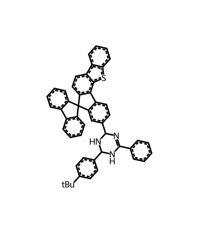 CC(C)(C)c1ccc(C2NC(c3ccccc3)=NC(c3ccc4c(c3)C3(c5ccccc5-c5ccccc53)c3ccc5c(sc6ccccc65)c3-4)N2)cc1